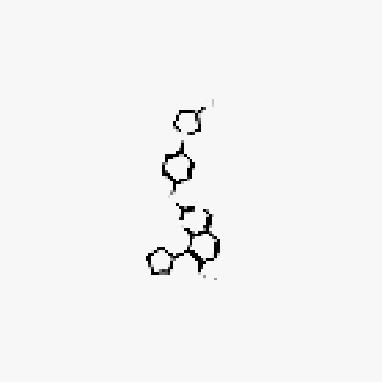 COc1ccc2cnc(Nc3ccc(N4CCC(NC(C)=O)C4)cc3)nc2c1C1CCCC1